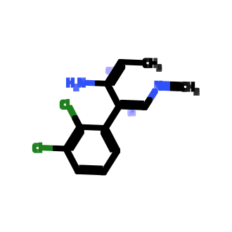 C=N/C=C(\C(N)=C/C)c1cccc(Cl)c1Cl